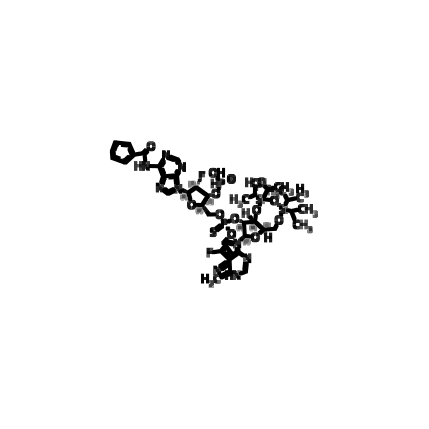 C=C1NC=Nc2c1c(F)cn2[C@@H]1O[C@@H]2CO[Si](C(C)C)(C(C)C)O[Si](C(C)C)(C(C)C)O[C@H]2[C@H]1OP(=S)(OCCC#N)OC[C@H]1O[C@@H](n2cnc3c(NC(=O)c4ccccc4)ncnc32)[C@H](F)[C@@H]1O[PH](=O)O